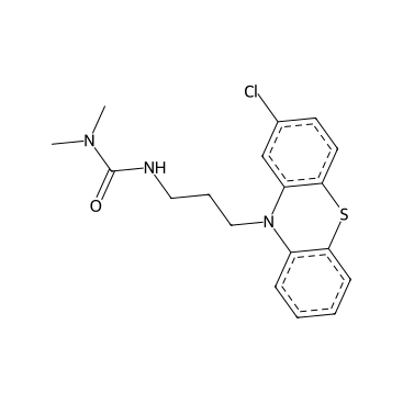 CN(C)C(=O)NCCCN1c2ccccc2Sc2ccc(Cl)cc21